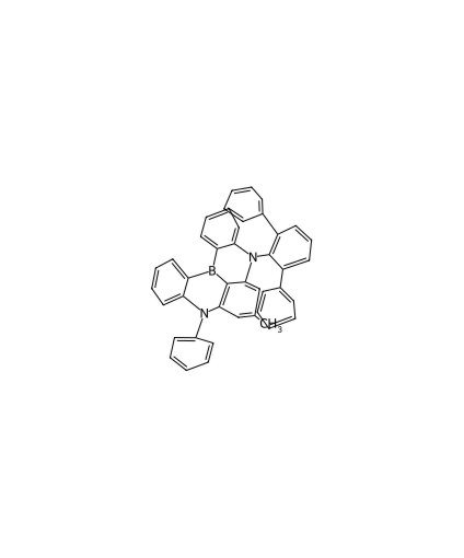 Cc1cc2c3c(c1)N(c1c(-c4ccccc4)cccc1-c1ccccc1)c1ccccc1B3c1ccccc1N2c1ccccc1